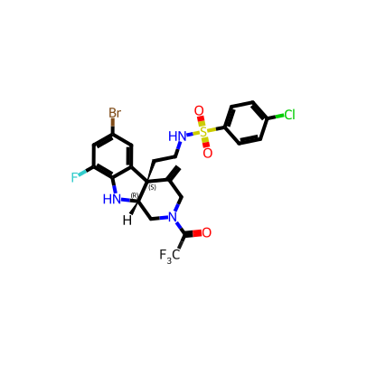 C=C1CN(C(=O)C(F)(F)F)C[C@@H]2Nc3c(F)cc(Br)cc3[C@]12CCNS(=O)(=O)c1ccc(Cl)cc1